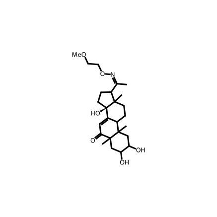 COCCO/N=C(/C)C1CC[C@@]2(O)C3=CC(=O)C4(C)CC(O)C(O)CC4(C)C3CCC12C